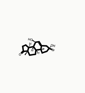 C[C@]12CC[C@](O)(Br)CC1=C[C@H](O)[C@@H]1[C@@H]2CC[C@]2(C)C(=O)CC[C@@H]12